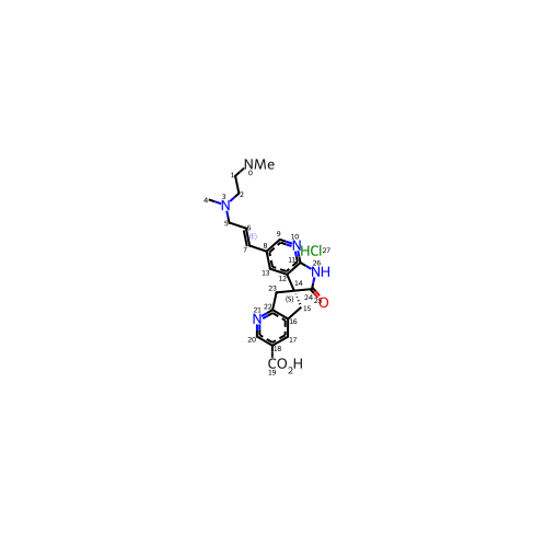 CNCCN(C)C/C=C/c1cnc2c(c1)[C@@]1(Cc3cc(C(=O)O)cnc3C1)C(=O)N2.Cl